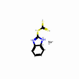 S=C([S-])Sc1nc2ccccc2[nH]1.[Na+]